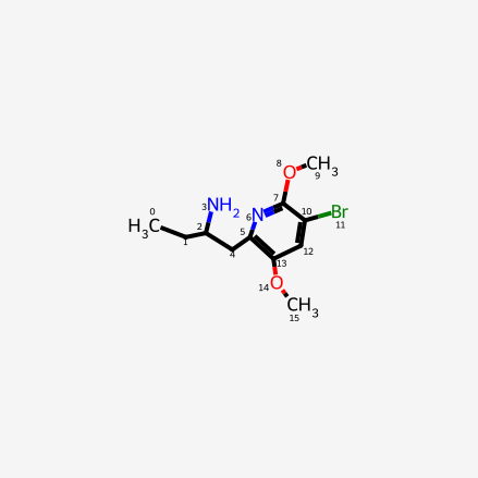 CCC(N)Cc1nc(OC)c(Br)cc1OC